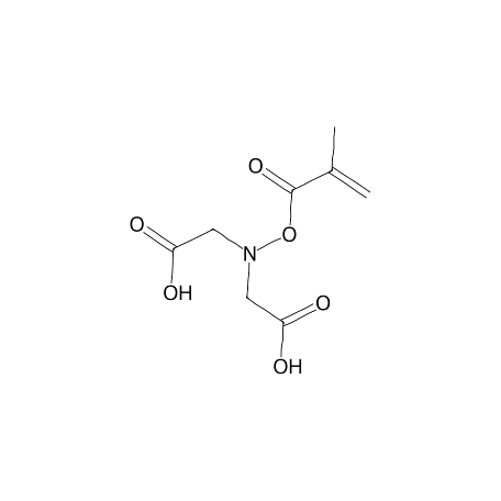 C=C(C)C(=O)ON(CC(=O)O)CC(=O)O